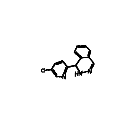 Clc1ccc(C2NN=Cc3ccccc32)nc1